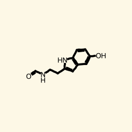 O=CNCCc1cc2cc(O)ccc2[nH]1